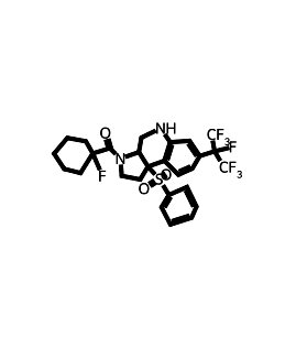 O=C(N1CCC2(S(=O)(=O)c3ccccc3)c3ccc(C(F)(C(F)(F)F)C(F)(F)F)cc3NCC12)C1(F)CCCCC1